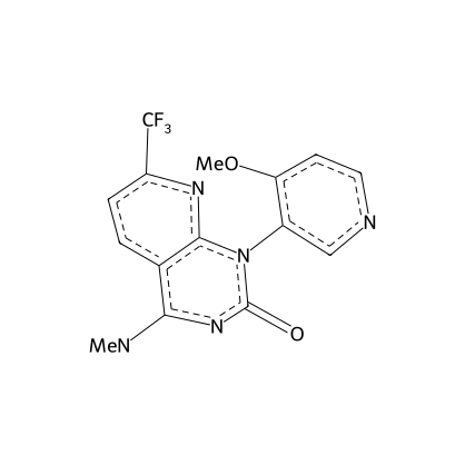 CNc1nc(=O)n(-c2cnccc2OC)c2nc(C(F)(F)F)ccc12